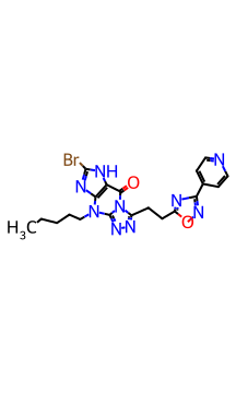 CCCCCn1c2nc(Br)[nH]c2c(=O)n2c(CCc3nc(-c4ccncc4)no3)nnc12